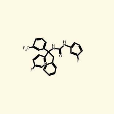 O=C(Nc1cccc(F)c1)NC(Cc1ccccc1)(c1cccc(C(F)(F)F)c1)c1ccc(F)cn1